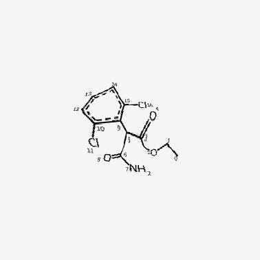 CCOC(=O)C(C(N)=O)c1c(Cl)cccc1Cl